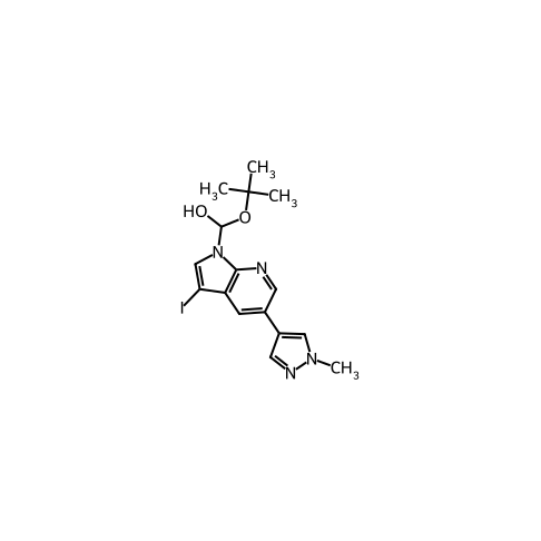 Cn1cc(-c2cnc3c(c2)c(I)cn3C(O)OC(C)(C)C)cn1